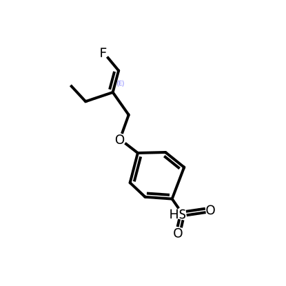 CC/C(=C\F)COc1ccc([SH](=O)=O)cc1